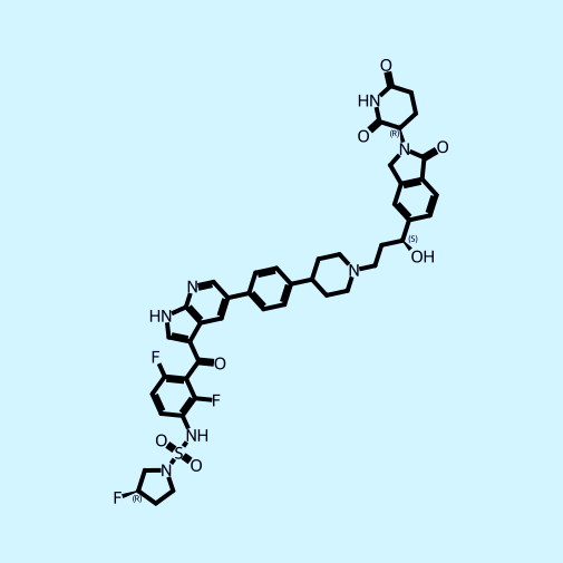 O=C1CC[C@@H](N2Cc3cc([C@@H](O)CCN4CCC(c5ccc(-c6cnc7[nH]cc(C(=O)c8c(F)ccc(NS(=O)(=O)N9CC[C@@H](F)C9)c8F)c7c6)cc5)CC4)ccc3C2=O)C(=O)N1